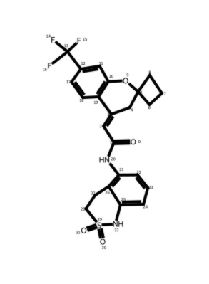 O=C(/C=C1\CC2(CCC2)Oc2cc(C(F)(F)F)ccc21)Nc1cccc2c1CCS(=O)(=O)N2